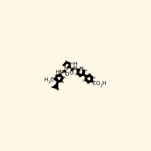 Cc1cc(NC(=O)N2CCC[C@@H]2C(=O)Nc2ccc(-c3ccc(C(=O)O)cc3)cn2)ccc1C1CC1